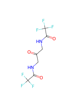 O=C(CNC(=O)C(F)(F)F)CNC(=O)C(F)(F)F